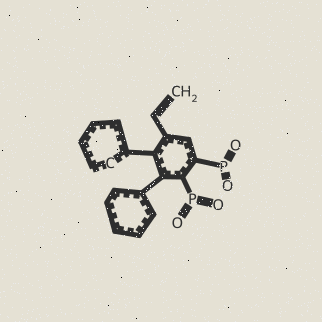 C=Cc1cc(P(=O)=O)c(P(=O)=O)c(-c2ccccc2)c1-c1ccccc1